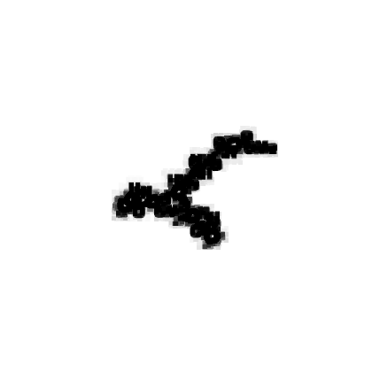 COc1cc2c(cc1OCc1cc(COc3cc4c(cc3C)C(=O)N3c5ccccc5C[C@H]3C=N4)cc(NC(=O)CNC(=O)CNC(=O)CNC(=O)[C@H]3CC[C@H](C(=O)OC)CC3)c1)N=C[C@@H]1Cc3ccccc3N1C2=O